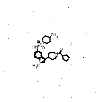 CC1CCN(S(=O)(=O)Nc2ccc3c(c2)c(C2CCN(C(=O)C4CCCC4)CC2)cn3C)CC1